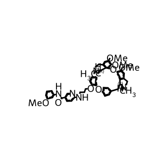 COc1cccc(NC(=O)c2ccc(NCCCOc3ccc4cc3Oc3ccc(cc3)C[C@H]3c5cc(c(OC)cc5CCN3C)Oc3c(OC)c(OC)cc5c3[C@@H](C4)N(C)CC5)nc2)c1